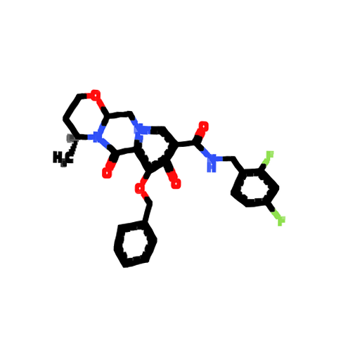 C[C@@H]1CCOC2Cn3cc(C(=O)NCc4ccc(F)cc4F)c(=O)c(OCc4ccccc4)c3C(=O)N21